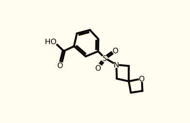 O=C(O)c1cccc(S(=O)(=O)N2CC3(CCO3)C2)c1